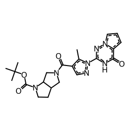 Cc1c(C(=O)N2CC3CCN(C(=O)OC(C)(C)C)C3C2)cnn1-c1nn2cccc2c(=O)[nH]1